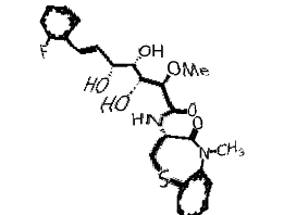 CO[C@@H](C(=O)N[C@H]1CSc2ccccc2N(C)C1=O)[C@H](O)[C@@H](O)[C@H](O)/C=C/c1ccccc1F